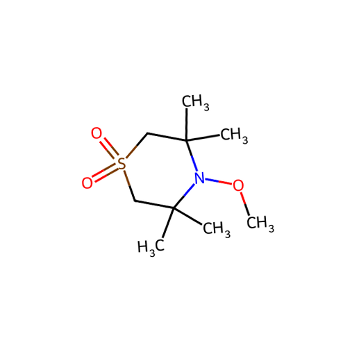 CON1C(C)(C)CS(=O)(=O)CC1(C)C